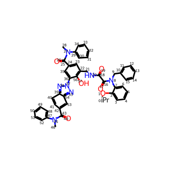 CC(C)Oc1ccccc1N(Cc1ccccc1)C(=O)C(=O)NCc1cc(C(=O)N(C)c2ccccc2)cc(-n2nc3ccc(C(=O)N(C)c4ccccc4)cc3n2)c1O